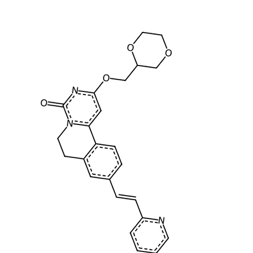 O=c1nc(OCC2COCCO2)cc2n1CCc1cc(/C=C/c3ccccn3)ccc1-2